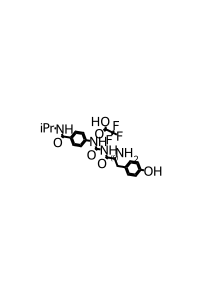 CC(C)NC(=O)c1ccc(NC(=O)NC(=O)[C@@H](N)Cc2ccc(O)cc2)cc1.O=C(O)C(F)(F)F